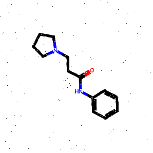 O=C(CCN1CCCC1)Nc1cc[c]cc1